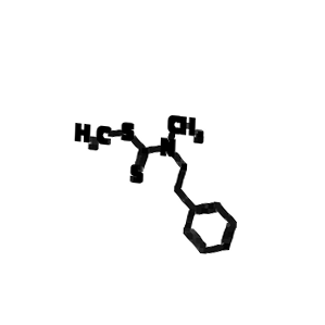 CSC(=S)N(C)CCc1ccccc1